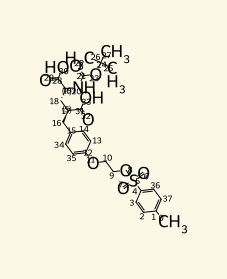 Cc1ccc(S(=O)(=O)OCCOc2ccc(C[C@@H](C[C@@H](NC(=O)OC(C)(C)C)C(=O)O)C(=O)O)cc2)cc1